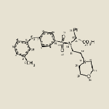 Cc1cccc(Sc2ccc(S(=O)(=O)N(CCN3CCOCC3)[C@@H](C(=O)O)C(C)C)cc2)c1